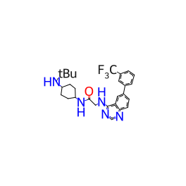 CC(C)(C)NC1CCC(NC(=O)CNc2ncnc3ccc(-c4cccc(C(F)(F)F)c4)cc23)CC1